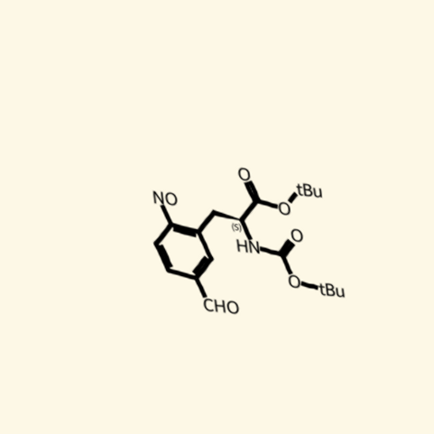 CC(C)(C)OC(=O)N[C@@H](Cc1cc(C=O)ccc1N=O)C(=O)OC(C)(C)C